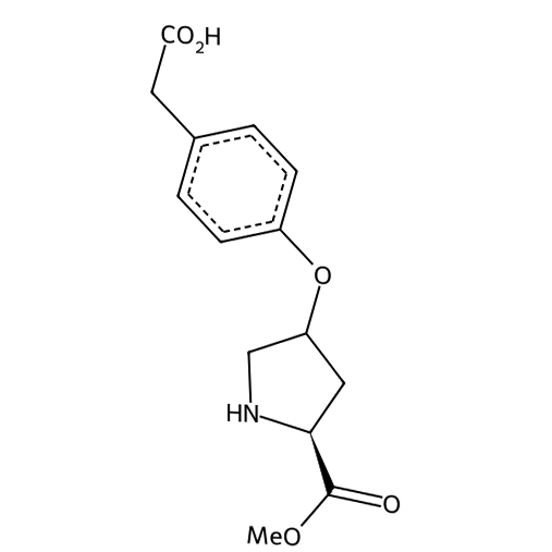 COC(=O)[C@@H]1CC(Oc2ccc(CC(=O)O)cc2)CN1